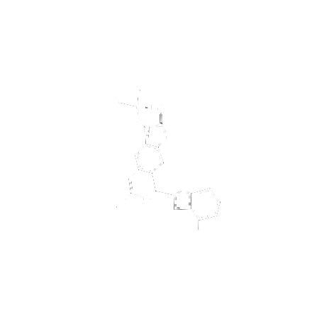 CC1=Cc2cc3c(cc2C(c2cc4c(F)cccc4s2)O1)oc(=O)n3O[Cl+3]([O-])([O-])[O-]